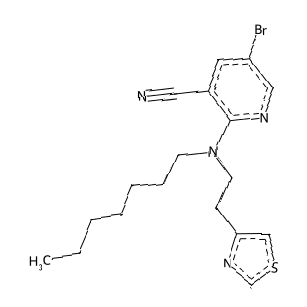 CCCCCCCN(CCc1cs[c]n1)c1ncc(Br)cc1C#N